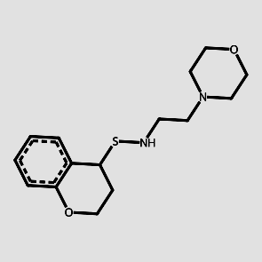 c1ccc2c(c1)OCCC2SNCCN1CCOCC1